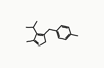 CC1=NCC(Cc2ccc(C)cc2)=C1C(C)C